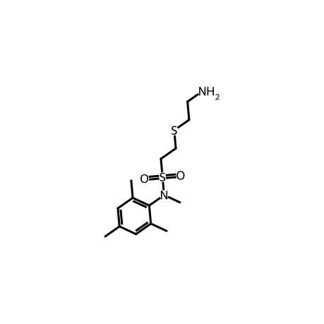 Cc1cc(C)c(N(C)S(=O)(=O)CCSCCN)c(C)c1